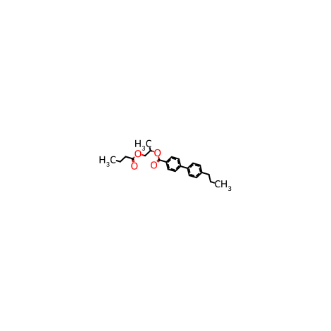 CCCC(=O)OCC(C)OC(=O)c1ccc(-c2ccc(CCC)cc2)cc1